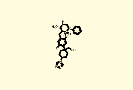 C[C@@H]1NC[C@@H](c2ccccc2)S(=O)(=O)C1Cc1cc(F)c(C2(CO)CCC(n3cnnc3)CC2)cc1F